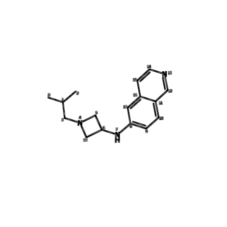 CC(C)CN1CC(Nc2ccc3cnccc3c2)C1